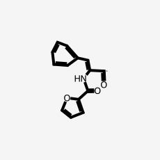 O=[C]C(=Cc1ccccc1)NC(=O)c1ccco1